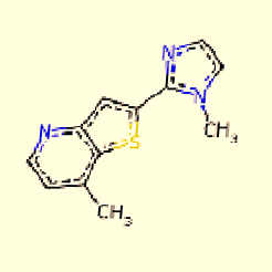 Cc1ccnc2cc(-c3nccn3C)sc12